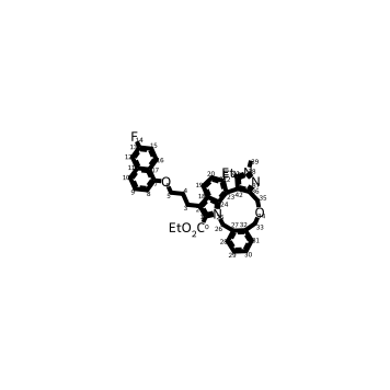 CCOC(=O)c1c(CCCOc2cccc3cc(F)ccc23)c2ccc(F)c3c2n1Cc1ccccc1COCc1nn(C)c(CC)c1-3